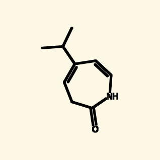 CC(C)C1=CCC(=O)NC=C1